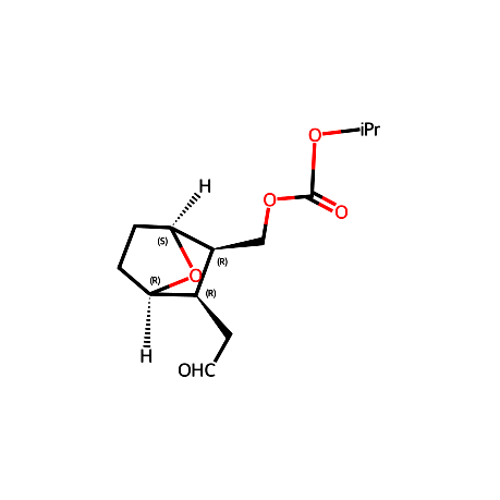 CC(C)OC(=O)OC[C@H]1[C@@H](CC=O)[C@H]2CC[C@@H]1O2